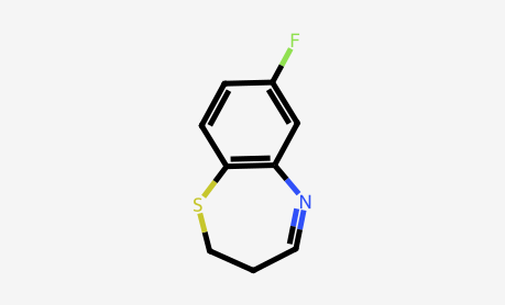 Fc1ccc2c(c1)N=CCCS2